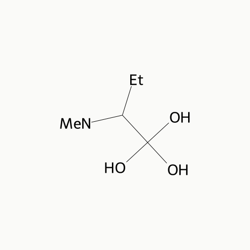 CCC(NC)C(O)(O)O